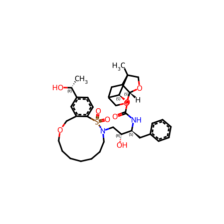 C[C@@H](O)c1ccc2c(c1)COCCCCCCCN(C[C@@H](O)[C@H](Cc1ccccc1)NC(=O)O[C@H]1C3CO[C@H]4OCC1(C)C4C3)S2(=O)=O